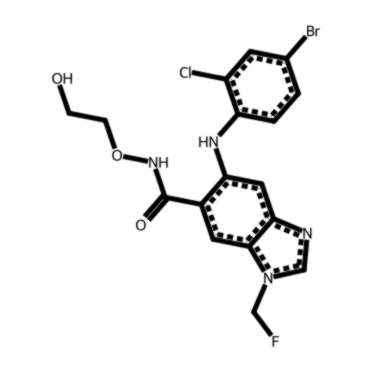 O=C(NOCCO)c1cc2c(cc1Nc1ccc(Br)cc1Cl)ncn2CF